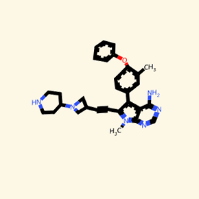 Cc1cc(-c2c(C#CC3CN(C4CCNCC4)C3)n(C)c3ncnc(N)c23)ccc1Oc1ccccc1